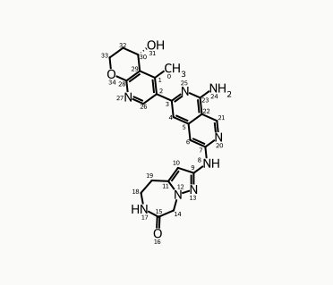 Cc1c(-c2cc3cc(Nc4cc5n(n4)CC(=O)NCC5)ncc3c(N)n2)cnc2c1[C@@H](O)CCO2